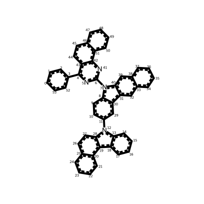 c1ccc(-c2nc(-n3c4ccc(-n5c6ccccc6c6c7ccccc7ccc65)cc4c4cc5ccccc5cc43)nc3c2ccc2ccccc23)cc1